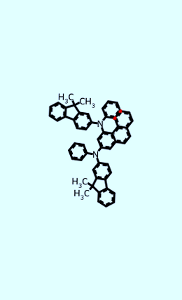 CC1(C)c2ccccc2-c2ccc(N(c3ccccc3)c3cc(N(c4ccccc4)c4ccc5c(c4)C(C)(C)c4ccccc4-5)c4c(ccc5ccccc54)c3)cc21